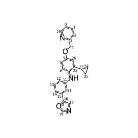 c1ccc(COc2ccc(Nc3cccc(-c4cnco4)c3)c(C3CC3)c2)nc1